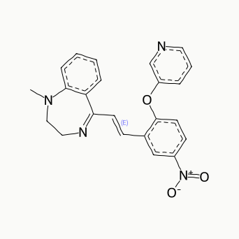 CN1CCN=C(/C=C/c2cc([N+](=O)[O-])ccc2Oc2cccnc2)c2ccccc21